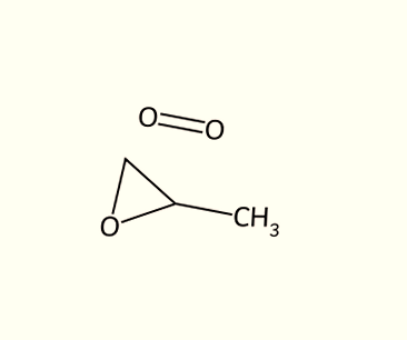 CC1CO1.O=O